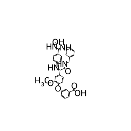 COc1cc(C(Nc2ccc(C(=N)NO)cc2)C(=O)NCc2ccccc2)ccc1Oc1cccc(C(=O)O)c1